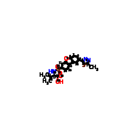 Cc1nnc(-c2ccc3oc4cc(S(=O)(=O)N[C@H](C(=O)O)C(C)C)ccc4c3c2)s1